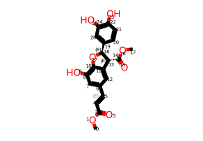 COC(=O)/C=C/c1cc(O)c2c(c1)[C@@H](C(=O)OC)[C@H](c1ccc(O)c(O)c1)O2